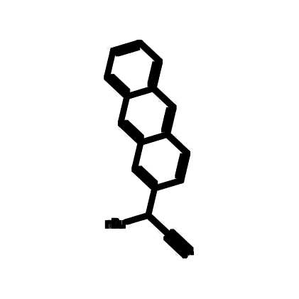 [C]#CC(CCCC)c1ccc2cc3ccccc3cc2c1